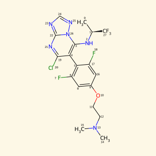 C[C@H](Nc1c(-c2c(F)cc(OCCN(C)C)cc2F)c(Cl)nc2ncnn12)C(F)(F)F